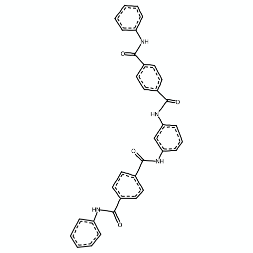 O=C(Nc1ccccc1)c1ccc(C(=O)Nc2cccc(NC(=O)c3ccc(C(=O)Nc4ccccc4)cc3)c2)cc1